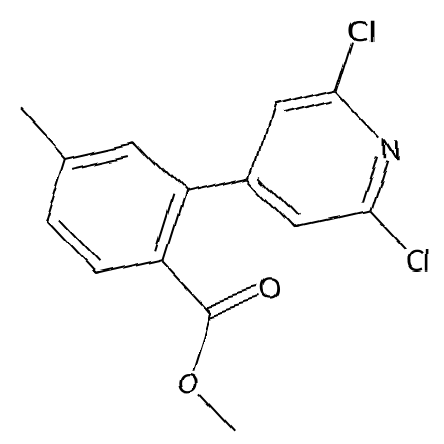 COC(=O)c1ccc(C)cc1-c1cc(Cl)nc(Cl)c1